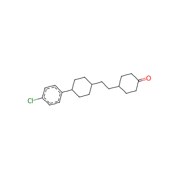 O=C1CCC(CCC2CCC(c3ccc(Cl)cc3)CC2)CC1